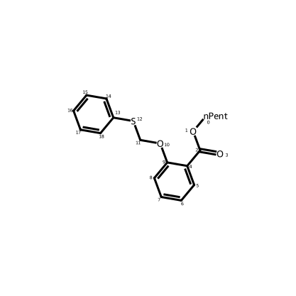 CCCCCOC(=O)c1ccccc1OCSc1ccccc1